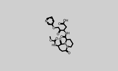 COC(=O)NC1CCC(=O)N2CCCC(C(=O)NC(CC(=O)O)C(=O)COc3cccnc3)N2C1=O